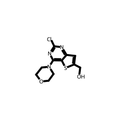 OCc1cc2nc(Cl)nc(N3CCOCC3)c2s1